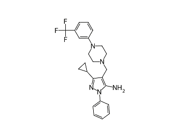 Nc1c(CN2CCN(c3cccc(C(F)(F)F)c3)CC2)c(C2CC2)nn1-c1ccccc1